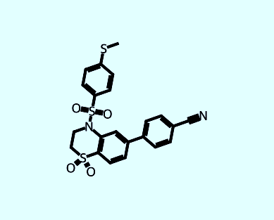 CSc1ccc(S(=O)(=O)N2CCS(=O)(=O)c3ccc(-c4ccc(C#N)cc4)cc32)cc1